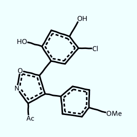 COc1ccc(-c2c(C(C)=O)noc2-c2cc(Cl)c(O)cc2O)cc1